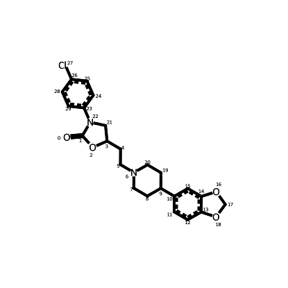 O=C1OC(CCN2CCC(c3ccc4c(c3)OCO4)CC2)CN1c1ccc(Cl)cc1